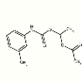 [CH2]c1cccc(NC(=O)OC(C)OC(C)=O)c1